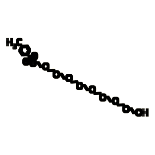 Cc1ccc(S(=O)(=O)OCCOCCOCCOCCOCCOCCOCCOCCOCCO)cc1